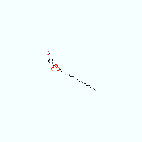 [CH2]CCCCCCCCCCCCCCCCCOOC(=O)c1ccc(OC(C)C)cc1